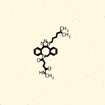 CNC(=O)CCC(=O)N1Cc2ccccc2-c2c(nnn2CCCCC(C)C)-c2ccccc21